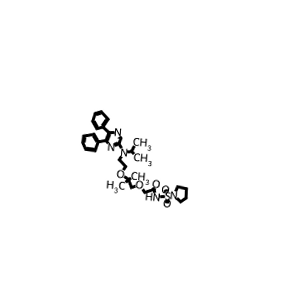 CC(C)N(CCOC(C)(C)COCC(=O)NS(=O)(=O)N1CCCC1)c1cnc(-c2ccccc2)c(-c2ccccc2)n1